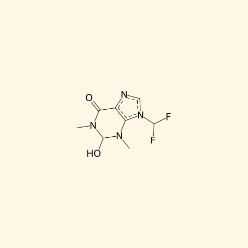 CN1C(=O)c2ncn(C(F)F)c2N(C)C1O